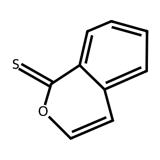 S=c1occc2ccccc12